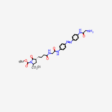 CCOC(=O)C1C[C@@H](CCCC(=O)NCC(=O)Nc2ccc(/N=N/c3ccc(NC(=O)CN)cc3)cc2)C(=O)N1C(=O)OC(C)(C)C